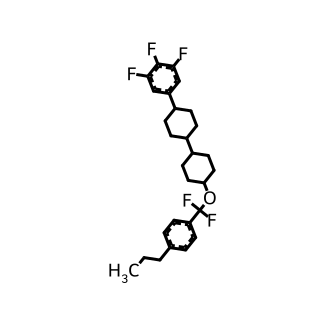 CCCc1ccc(C(F)(F)OC2CCC(C3CCC(c4cc(F)c(F)c(F)c4)CC3)CC2)cc1